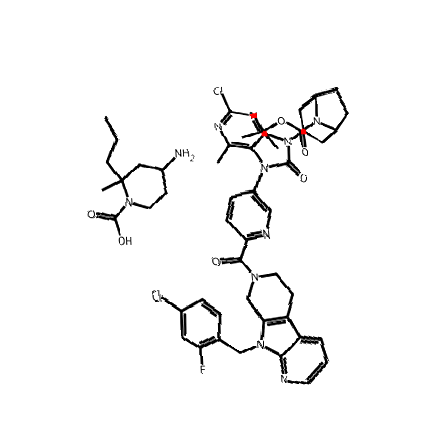 CCCC1(C)CC(N)CCN1C(=O)O.Cc1nc(Cl)nc2c1n(-c1ccc(C(=O)N3CCc4c(n(Cc5ccc(Cl)cc5F)c5ncccc45)C3)nc1)c(=O)n2C1CC2CCC(C1)N2C(=O)OC(C)(C)C